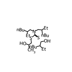 CCCCC(CC)CN(CC(CC)CCCC)C(=S)SCC(C)O.CCCCC(CC)CO